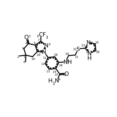 CC1(C)CC(=O)c2c(C(F)(F)F)nn(-c3ccc(C(N)=O)c(NCCSc4ncc[nH]4)c3)c2C1